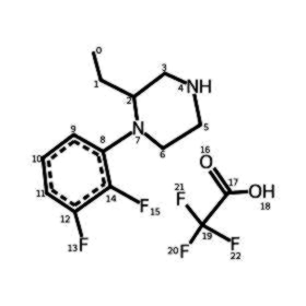 CCC1CNCCN1c1cccc(F)c1F.O=C(O)C(F)(F)F